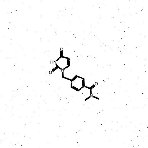 CN(C)C(=O)c1ccc(Cn2ccc(=O)[nH]c2=O)cc1